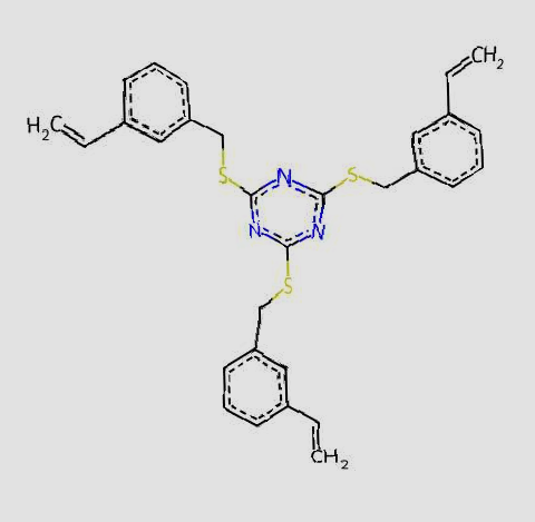 C=Cc1cccc(CSc2nc(SCc3cccc(C=C)c3)nc(SCc3cccc(C=C)c3)n2)c1